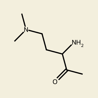 CC(=O)C(N)CCN(C)C